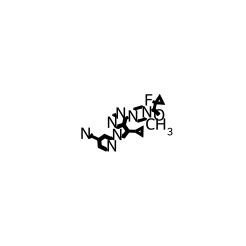 C[C@@H]1CN(c2ncnc3c2c(C2CC2)cn3-c2cc(C#N)ccn2)CCN1C(=O)C1(F)CC1